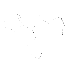 c1ccc(C(N[C]2CCCC2)c2ccccc2)cc1